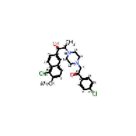 COc1ccc2cc(C(=O)C(C)N3CCN(CC(=O)c4ccc(Cl)cc4)CC3)ccc2c1Cl